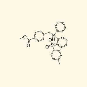 COC(=O)c1ccc(C[PH](OS(=O)(=O)c2ccc(C)cc2)(c2ccccc2)c2ccccc2)cc1